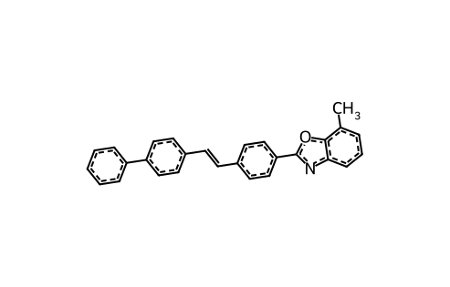 Cc1cccc2nc(-c3ccc(C=Cc4ccc(-c5ccccc5)cc4)cc3)oc12